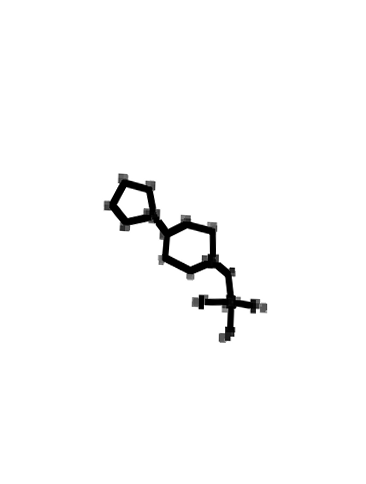 F[B-](F)(F)CN1CCC(N2CCCC2)CC1